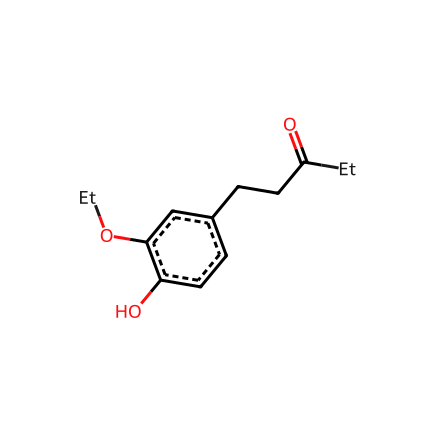 CCOc1cc(CCC(=O)CC)ccc1O